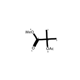 [CH2]C(=O)OC(C)(C)C(=O)OC